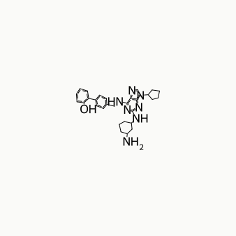 NC1CCCC(Nc2nc(NCc3ccc(-c4ccccc4O)cc3)c3ncn(C4CCCC4)c3n2)C1